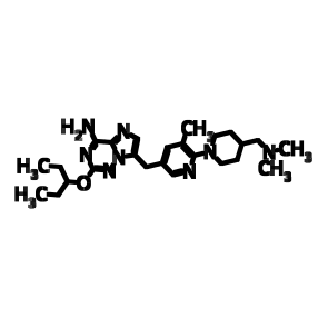 CCC(CC)Oc1nc(N)c2ncc(Cc3cnc(N4CCC(CN(C)C)CC4)c(C)c3)n2n1